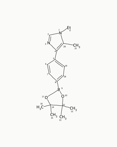 CCn1cnc(-c2ccc(B3OC(C)(C)C(C)(C)O3)cc2)c1C